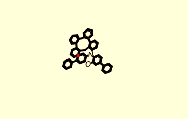 c1ccc(-c2ccc3c(c2)Oc2cc(-c4ccccc4)ccc2N3c2cccc3c2Cc2ccccc2-c2ccccc2-c2ccccc2-3)cc1